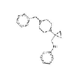 c1ccc(CN2CCN(C3(CNc4ccccc4)CC3)CC2)cc1